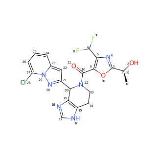 C[C@H](O)c1nc(C(F)F)c(C(=O)N2CCc3[nH]cnc3C2c2cc3cccc(Cl)n3n2)o1